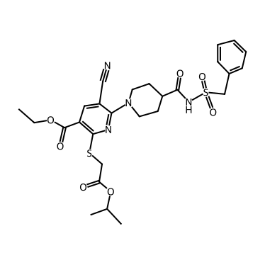 CCOC(=O)c1cc(C#N)c(N2CCC(C(=O)NS(=O)(=O)Cc3ccccc3)CC2)nc1SCC(=O)OC(C)C